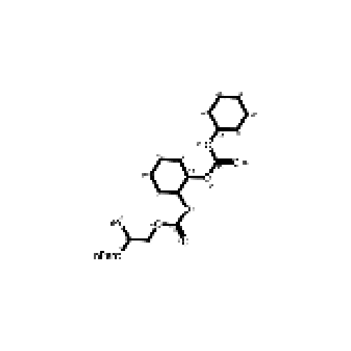 CCCCCC(CCC)COC(=O)OC1CCCCC1OC(=O)OC1CCCCC1